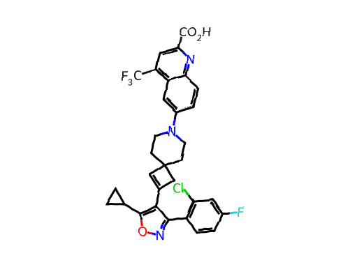 O=C(O)c1cc(C(F)(F)F)c2cc(N3CCC4(C=C(c5c(-c6ccc(F)cc6Cl)noc5C5CC5)C4)CC3)ccc2n1